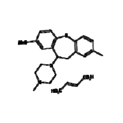 CSc1ccc2c(c1)C(N1CCN(C)CC1)Cc1cc(C)ccc1S2.O=C(O)C=CC(=O)O